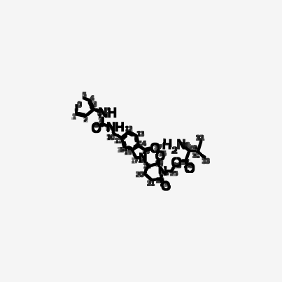 C/C=C\C(=C/C)NC(=O)NCc1ccc2c(c1)CN(C1CCC(=O)N(COC(=O)C(N)C(C)C)C1=O)C2=O